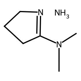 CN(C)C1=NCCC1.N